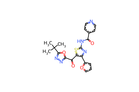 CC(C)(C)c1nnc(C(=O)c2sc(NC(=O)c3ccncc3)nc2-c2ccco2)o1